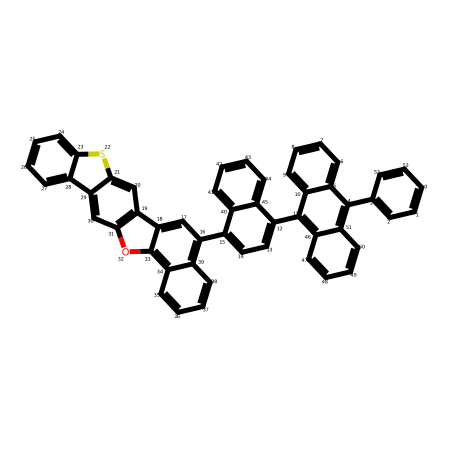 c1ccc(-c2c3ccccc3c(-c3ccc(-c4cc5c6cc7sc8ccccc8c7cc6oc5c5ccccc45)c4ccccc34)c3ccccc23)cc1